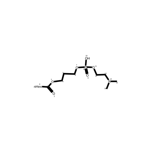 CCCCCCC(=O)OCCCOP(=O)(O)OCCN(C)C